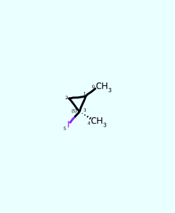 CC1C[C@]1(C)I